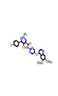 COc1cc2nccc(Oc3cnc(NC(=O)c4cn(C(C)C)nc(-c5ccc(F)cc5)c4=O)nc3)c2cc1OC